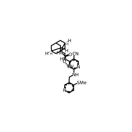 CSc1ccncc1CNc1ncc(C#N)c(NC[C@]23CC4C[C@H](C2)[C@@H](NC(=O)OC(C)(C)C)[C@@H](C4)C3)n1